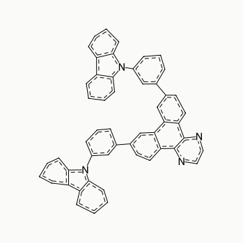 c1cc(-c2ccc3c(c2)c2cc(-c4cccc(-n5c6ccccc6c6ccccc65)c4)ccc2c2nccnc32)cc(-n2c3ccccc3c3ccccc32)c1